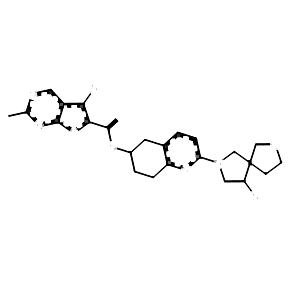 Cc1ncc2c(N)c(C(=O)NC3CCc4nc(N5CC(N)C6(CCOC6)C5)ccc4C3)sc2n1